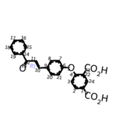 O=C(O)c1ccc(Oc2ccc(/C=C/C(=O)c3ccccc3)cc2)c(C(=O)O)c1